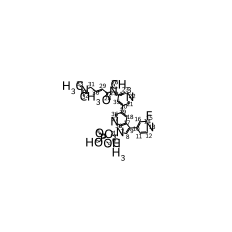 CC(OP(=O)(O)O)n1cc(-c2ccnc(F)c2)c2cc(-c3cncc(N(C)C(=O)C=CCN(C)C)c3)cnc21